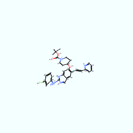 CC(C)(C)OC(=O)N1CCC(Oc2cc3nc(Nc4cccc(F)c4)ncc3cc2C#Cc2ccccn2)CC1